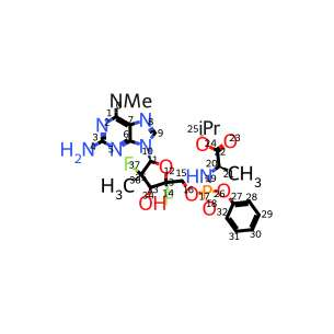 CNc1nc(N)nc2c1ncn2[C@@H]1O[C@](F)(CO[P@@](=O)(N[C@H](C)C(=O)OC(C)C)Oc2ccccc2)[C@@H](O)[C@@]1(C)F